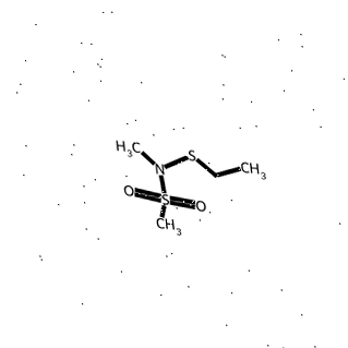 CCSN(C)S(C)(=O)=O